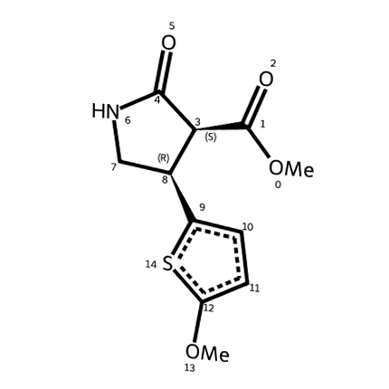 COC(=O)[C@@H]1C(=O)NC[C@@H]1c1ccc(OC)s1